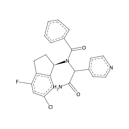 NC(=O)C(c1ccncc1)N(C(=O)c1ccccc1)[C@@H]1CCc2c(F)cc(Cl)cc21